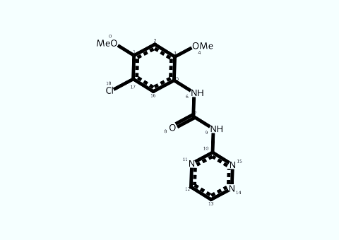 COc1cc(OC)c(NC(=O)Nc2nccnn2)cc1Cl